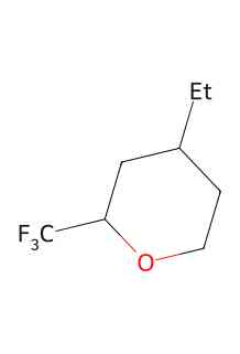 CCC1CCOC(C(F)(F)F)C1